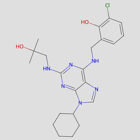 CC(C)(O)CNc1nc(NCc2cccc(Cl)c2O)c2ncn(C3CCCCC3)c2n1